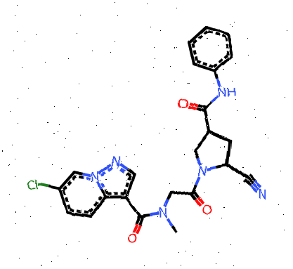 CN(CC(=O)N1CC(C(=O)Nc2ccccc2)CC1C#N)C(=O)c1cnn2cc(Cl)ccc12